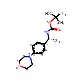 C[C@@H](NC(=O)OC(C)(C)C)c1ccc(N2CCOCC2)cc1